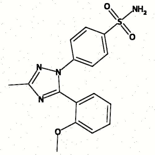 COc1ccccc1-c1nc(C)nn1-c1ccc(S(N)(=O)=O)cc1